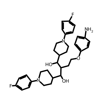 Nc1ccc(OCCC(C(O)C2CCN(c3ccc(F)cc3)CC2)C(O)C2CCN(c3ccc(F)cc3)CC2)cc1